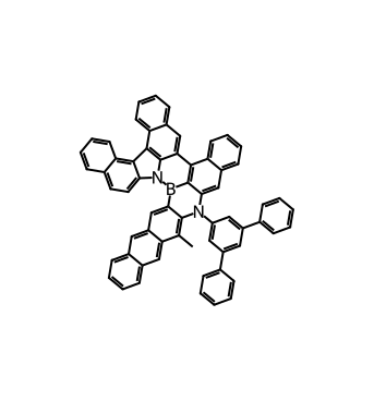 Cc1c2c(cc3cc4ccccc4cc13)B1c3c(cc4ccccc4c3-c3cc4ccccc4c4c5c6ccccc6ccc5n1c34)N2c1cc(-c2ccccc2)cc(-c2ccccc2)c1